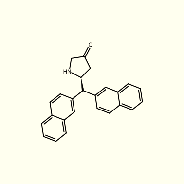 O=C1CN[C@H](C(c2ccc3ccccc3c2)c2ccc3ccccc3c2)C1